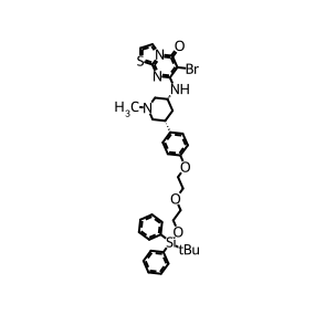 CN1C[C@H](Nc2nc3sccn3c(=O)c2Br)C[C@H](c2ccc(OCCOCCO[Si](c3ccccc3)(c3ccccc3)C(C)(C)C)cc2)C1